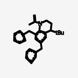 C=C(C)N1CCC(C(C)(C)C)c2cc(Cc3ccccc3)cc(Cc3ccccc3)c21